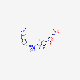 COC(=S)NC[C@H]1CN(c2cc(F)c(N3CCNN(C(=O)NCc4ccc(CN5CCN(C)CC5)cc4)CC3)c(F)c2)C(=O)O1